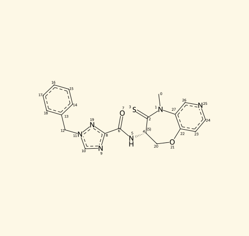 CN1C(=S)[C@@H](NC(=O)c2ncn(Cc3ccccc3)n2)COc2ccncc21